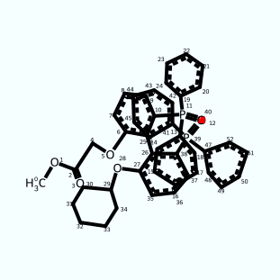 COC(=O)COc1cccc(P(=O)(c2ccccc2)c2ccccc2)c1-c1c(OC2CCCCC2)cccc1P(=O)(c1ccccc1)c1ccccc1